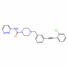 O=C(Nc1cccnn1)N1CCN(Cc2cccc(C#Cc3ccccc3Cl)c2)CC1